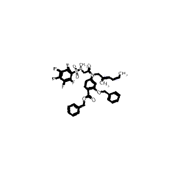 C/C=C\C=C(/C)CN(C(=O)CN(C)S(=O)(=O)c1c(F)c(F)c(F)c(F)c1F)c1ccc(C(=O)OCc2ccccc2)c(OCc2ccccc2)c1